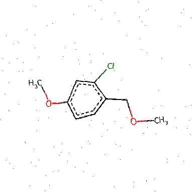 COCc1ccc(OC)cc1Cl